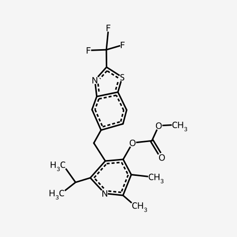 COC(=O)Oc1c(C)c(C)nc(C(C)C)c1Cc1ccc2sc(C(F)(F)F)nc2c1